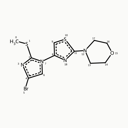 CSc1nc(Br)cn1-c1csc(N2CCOCC2)n1